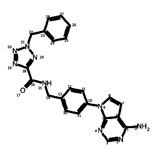 Nc1ncnc2c1ccn2-c1ccc(CNC(=O)c2nnn(Cc3ccccc3)n2)cc1